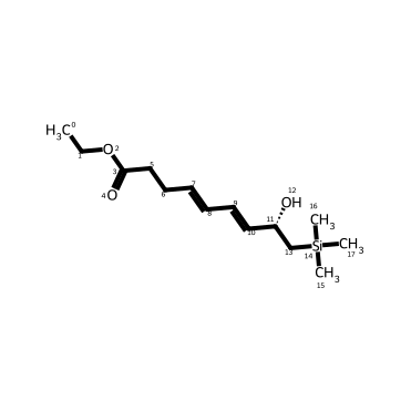 CCOC(=O)CC/C=C/C=C/[C@H](O)C[Si](C)(C)C